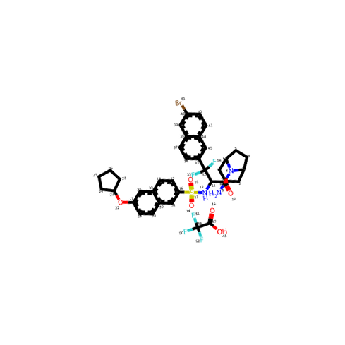 NC1CC2CCC(C1)N2C(=O)C(NS(=O)(=O)c1ccc2cc(OC3CCCC3)ccc2c1)C(F)(F)c1ccc2cc(Br)ccc2c1.O=C(O)C(F)(F)F